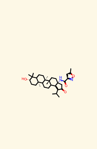 Cc1cc(C(=O)N[C@@]23CC[C@]4(C)C(CCC5[C@@]6(C)CC[C@H](O)C(C)(C)C6CC[C@]54C)C2=C(C(C)C)C(=O)C3)no1